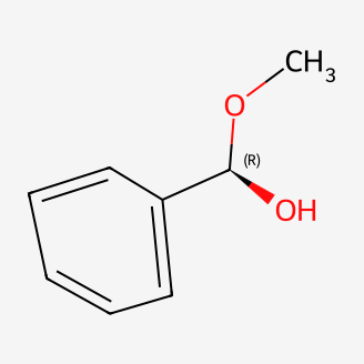 CO[C@@H](O)c1ccccc1